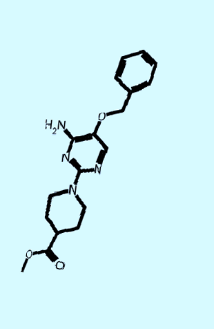 COC(=O)C1CCN(c2ncc(OCc3ccccc3)c(N)n2)CC1